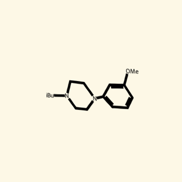 [CH2]CC(C)N1CCN(c2cccc(OC)c2)CC1